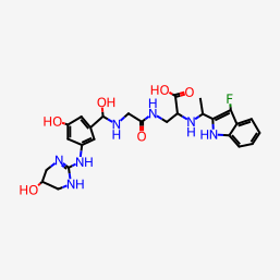 CC(NC(CNC(=O)CNC(O)c1cc(O)cc(NC2=NCC(O)CN2)c1)C(=O)O)c1[nH]c2ccccc2c1F